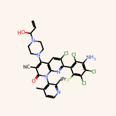 C=CC(O)N1CCN(c2c(C#N)c(=O)n(-c3c(C)ccnc3C(C)C)c3nc(-c4c(F)c(Cl)c(Cl)c(N)c4Cl)c(Cl)cc23)CC1